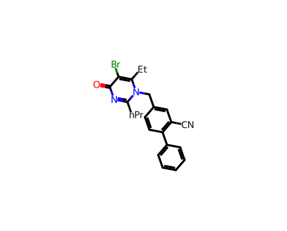 CCCc1nc(=O)c(Br)c(CC)n1Cc1ccc(-c2ccccc2)c(C#N)c1